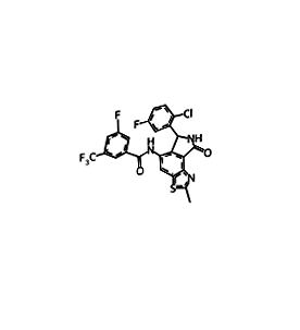 Cc1nc2c3c(c(NC(=O)c4cc(F)cc(C(F)(F)F)c4)cc2s1)C(c1cc(F)ccc1Cl)NC3=O